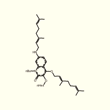 CCCCCCOc1c(OC/C=C(\C)CCC=C(C)C)c2ccc(NC/C=C(\C)CCC=C(C)C)cc2n(CCCC)c1=O